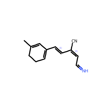 CC1=CC(/C=C/C(C#N)=C\C=N)=CCC1